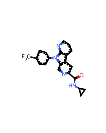 O=C(NC1CC1)c1cc2c3cccnc3n(-c3ccc(C(F)(F)F)cc3)c2cn1